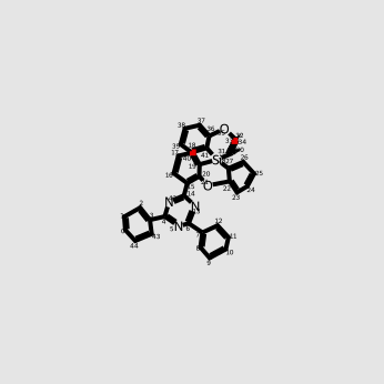 c1ccc(-c2nc(-c3ccccc3)nc(-c3cccc4c3Oc3ccccc3[Si]43c4ccccc4Oc4ccccc43)n2)cc1